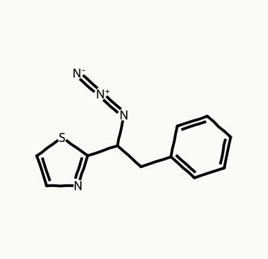 [N-]=[N+]=NC(Cc1ccccc1)c1nccs1